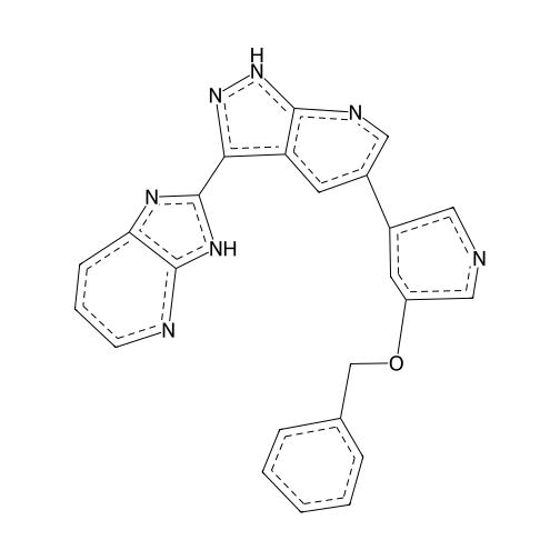 c1ccc(COc2cncc(-c3cnc4[nH]nc(-c5nc6cccnc6[nH]5)c4c3)c2)cc1